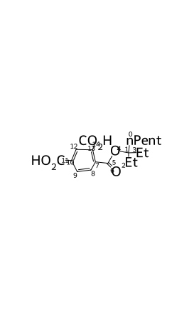 CCCCCC(CC)(CC)OC(=O)c1ccc(C(=O)O)cc1C(=O)O